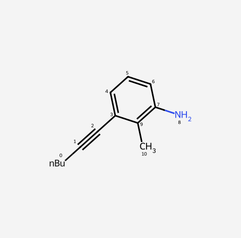 CCCCC#Cc1cccc(N)c1C